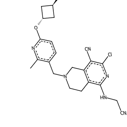 Cc1nc(O[C@H]2C[C@H](F)C2)ccc1CN1CCc2c(NCC#N)nc(Cl)c(C#N)c2C1